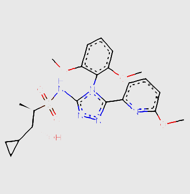 COc1cccc(-c2nnc(NS(=O)(=O)[C@H](C)[C@H](O)C3CC3)n2-c2c(OC)cccc2OC)n1